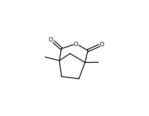 CC12CCC(C)(C1)C(=O)OC2=O